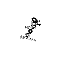 COc1ncc(-c2ccc(-c3ncc(N(C4CC4)[C@H]4C[C@@H]5CCC[C@@](C)(C5)[C@H]4F)nn3)c(O)c2)nc1OC